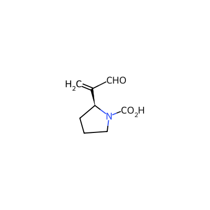 C=C(C=O)[C@@H]1CCCN1C(=O)O